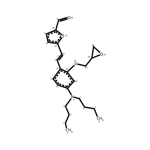 CCCCN(CCCC)c1ccc(/C=C/c2ccc(C=O)s2)c(OCC2CO2)c1